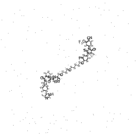 Cc1nc[nH]c1-c1ccc(CNC(=O)[C@@H]2CCCN2C(=O)[C@@H](NC(=O)COCCCOCCCCCOc2ccc(N3C(=S)N(c4ccc(C#N)c(C(F)(F)F)c4)C(=O)C3(C)C)cc2F)C(C)(C)C)cc1